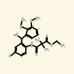 CCOC(=O)C(C)(C)C(=O)Nc1ccc(Cl)cc1C(O)c1cccc(OC)c1OC